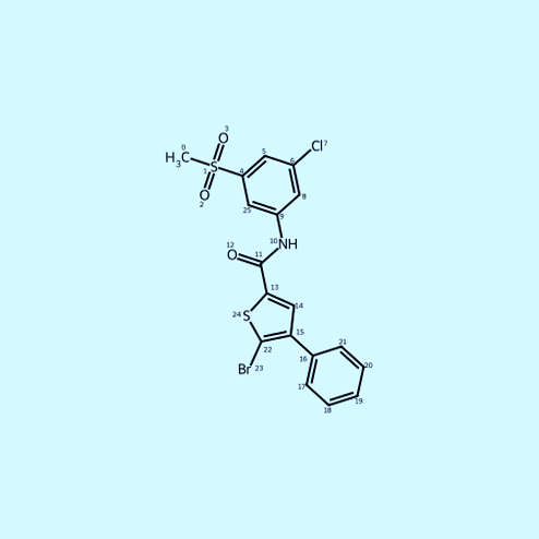 CS(=O)(=O)c1cc(Cl)cc(NC(=O)c2cc(-c3ccccc3)c(Br)s2)c1